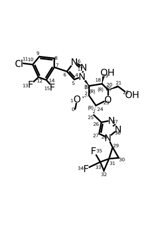 CO[C@@H]1[C@@H](n2cc(-c3ccc(Cl)c(F)c3F)nn2)[C@@H](O)[C@@H](CO)O[C@@H]1Cc1cn(C2CC23CC3(F)F)nn1